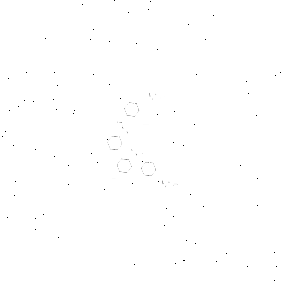 COc1ccc(C(=O)N2c3ccc(F)cc3C(N(C(=O)c3ccc(OC)cc3)c3ccc(F)cc3)CC2C)cc1